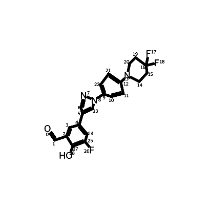 O=Cc1cc(-c2cnn(-c3ccc(N4CCC(F)(F)CC4)cc3)c2)cc(F)c1O